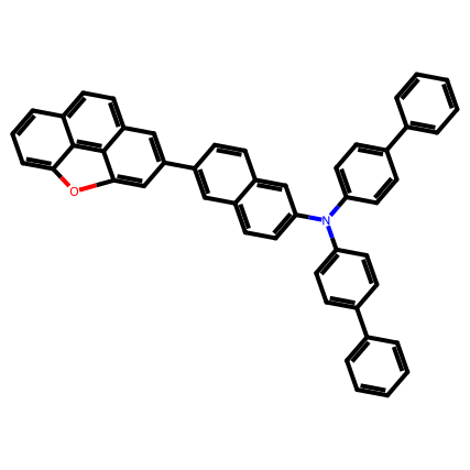 c1ccc(-c2ccc(N(c3ccc(-c4ccccc4)cc3)c3ccc4cc(-c5cc6ccc7cccc8oc(c5)c6c78)ccc4c3)cc2)cc1